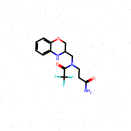 NC(=O)CCN(CC1COc2ccccc2N1)C(=O)C(F)(F)F